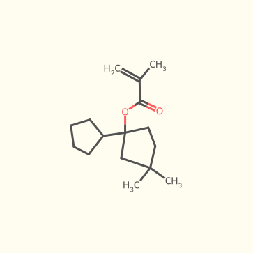 C=C(C)C(=O)OC1(C2CCCC2)CCC(C)(C)C1